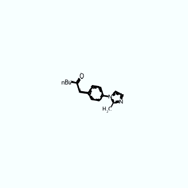 CCCCC(=O)Cc1ccc(-n2ccnc2C)cc1